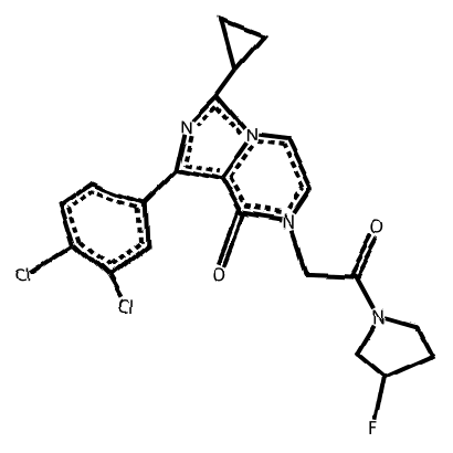 O=C(Cn1ccn2c(C3CC3)nc(-c3ccc(Cl)c(Cl)c3)c2c1=O)N1CCC(F)C1